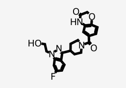 O=C1COc2ccc(C(=O)N3CCC(c4nn(CCO)c5cc(F)ccc45)CC3)cc2N1